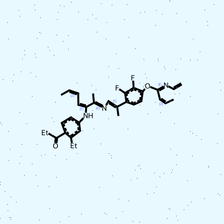 C=C/N=C(\C=C/C)Oc1ccc(/C(C)=C/N=C(C)/C(=C\C=C/C)Nc2ccc(C(=O)CC)c(CC)c2)c(F)c1F